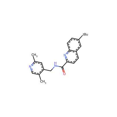 Cc1cc(CNC(=O)c2ccc3cc(C(C)(C)C)ccc3n2)c(C)cn1